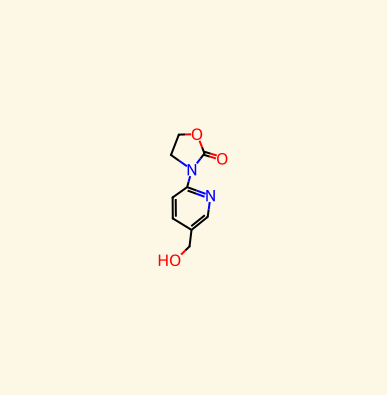 O=C1OCCN1c1ccc(CO)cn1